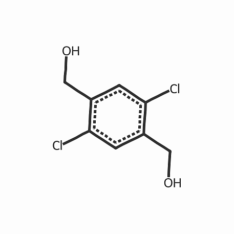 OCc1cc(Cl)c(CO)cc1Cl